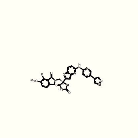 COc1ccc2c(c1F)C(=O)N(C[C@@]1(c3cc4nc(Nc5ccc(-c6cn[nH]c6)cn5)ccc4o3)NC(=O)NC1=O)C2